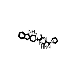 Cc1nc2c(N3CCCC3)n[nH]c2nc1N1CCC2(CC1)Cc1ccccc1[C@H]2N